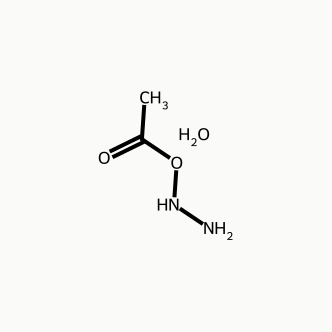 CC(=O)ONN.O